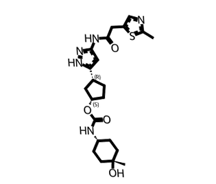 Cc1ncc(CC(=O)Nc2cc([C@@H]3CC[C@H](OC(=O)N[C@H]4CC[C@@](C)(O)CC4)C3)[nH]n2)s1